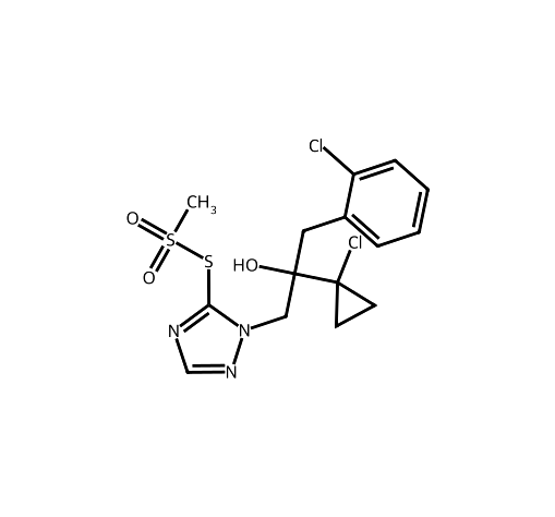 CS(=O)(=O)Sc1ncnn1CC(O)(Cc1ccccc1Cl)C1(Cl)CC1